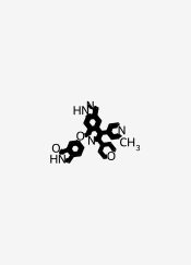 Cc1cc(-c2c(C3CCOCC3)nc(Oc3ccc4c(c3)C(=O)NC4)c3cc4[nH]ncc4cc23)ccn1